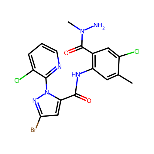 Cc1cc(NC(=O)c2cc(Br)nn2-c2ncccc2Cl)c(C(=O)N(C)N)cc1Cl